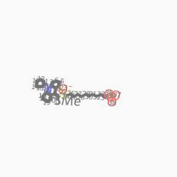 CSC(=C1c2ccccc2N(c2ccccc2)c2ccccc21)[S+]([O-])CCCCCCCCCCCOP(=O)=O